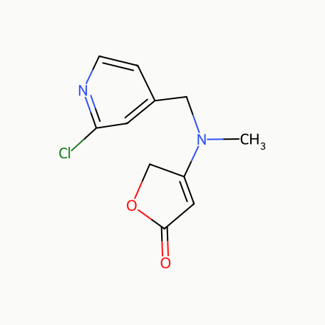 CN(Cc1ccnc(Cl)c1)C1=CC(=O)OC1